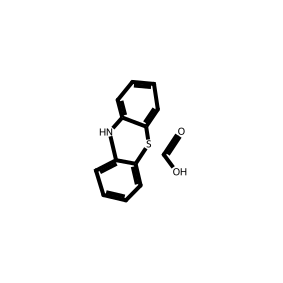 O=CO.c1ccc2c(c1)Nc1ccccc1S2